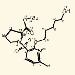 Cc1ccc(S(=O)(=O)N2CCC[C@H]2C(=O)OC(C)(C)C)c(OCCCCCO)n1